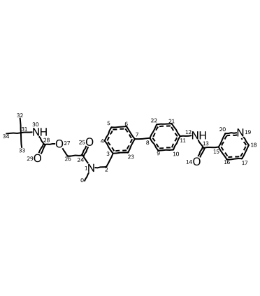 CN(Cc1cccc(-c2ccc(NC(=O)c3cccnc3)cc2)c1)C(=O)COC(=O)NC(C)(C)C